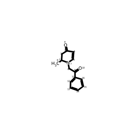 CC1CC(=O)C=CN1CC(=O)c1ccccc1